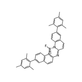 Cc1cc(C)c(-c2ccc3c(c2)C=CC2=Nc4ccc5cc(-c6c(C)cc(C)cc6C)ccc5[n+]4[BH-](F)N23)c(C)c1